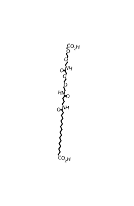 O=C(O)CCCCCCCCCCCCCCCCC(=O)NCCCC(=O)NCCOCCOCC(=O)NCCOCCOCC(=O)O